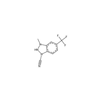 CN1NN(C#N)c2ccc(C(F)(F)F)cc21